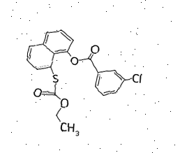 CCOC(=O)Sc1cccc2cccc(OC(=O)c3cccc(Cl)c3)c12